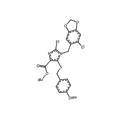 CCc1nc(C(=O)OC(C)CC)c(SCc2ccc(OC)cc2)n1Cc1cc2c(cc1Cl)OCO2